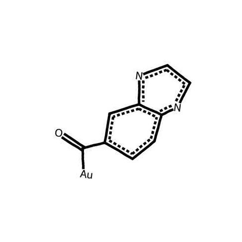 O=[C]([Au])c1ccc2nccnc2c1